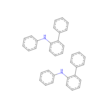 c1ccc(Nc2ccccc2-c2ccccc2)cc1.c1ccc(Nc2ccccc2-c2ccccc2)cc1